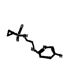 CCc1ccc(NCCNS(=O)(=O)C2CC2)nc1